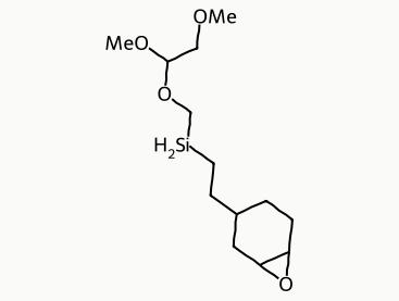 COCC(OC)OC[SiH2]CCC1CCC2OC2C1